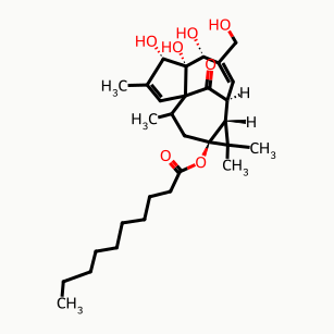 CCCCCCCCCC(=O)O[C@@]12CC(C)C34C=C(C)[C@H](O)[C@@]3(O)[C@H](O)C(CO)=C[C@H](C4=O)[C@@H]1C2(C)C